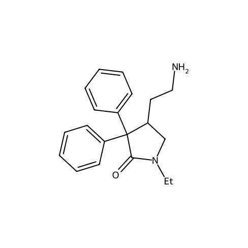 CCN1CC(CCN)C(c2ccccc2)(c2ccccc2)C1=O